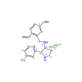 COc1ccc(C(C)(C)C)cc1CNC1CCNC1c1cccc(Cl)c1.Cl.Cl